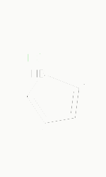 B1C=CC=C1.Cl